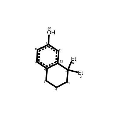 CCC1(CC)[CH]CCc2ccc(O)cc21